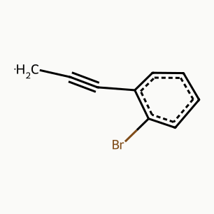 [CH2]C#Cc1ccccc1Br